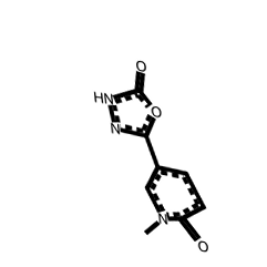 Cn1cc(-c2n[nH]c(=O)o2)ccc1=O